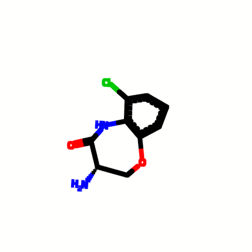 N[C@H]1COc2cccc(Cl)c2NC1=O